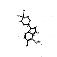 COc1c(I)ccn2c(C3CCC(F)(F)CC3)nnc12